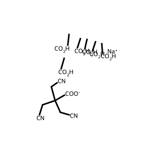 CC(=O)O.CC(=O)O.CC(=O)O.CC(=O)O.CC(=O)O.CC(=O)O.N#CCC(CC#N)(CC#N)C(=O)[O-].[Na+]